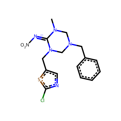 CN1CN(Cc2ccccc2)CN(Cc2cnc(Cl)s2)/C1=N\[N+](=O)[O-]